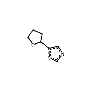 [CH]1CCOC1c1cncs1